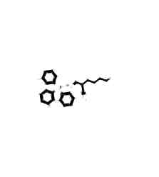 CCCCCC(C#N)C=NO[Si](c1ccccc1)(c1ccccc1)c1ccccc1